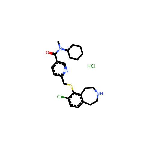 CN(C(=O)c1ccc(CSc2c(Cl)ccc3c2CCNCC3)nc1)C1CCCCC1.Cl